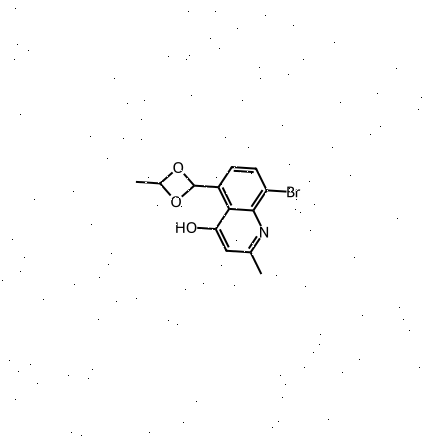 Cc1cc(O)c2c(C3OC(C)O3)ccc(Br)c2n1